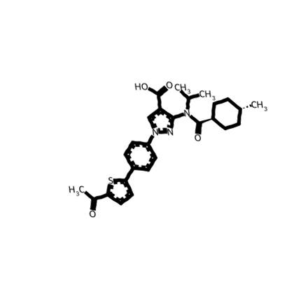 CC(=O)c1ccc(-c2ccc(-n3cc(C(=O)O)c(N(C(=O)[C@H]4CC[C@H](C)CC4)C(C)C)n3)cc2)s1